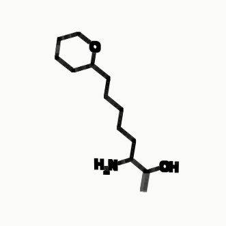 C=C(O)C(N)CCCCCC1CCCCO1